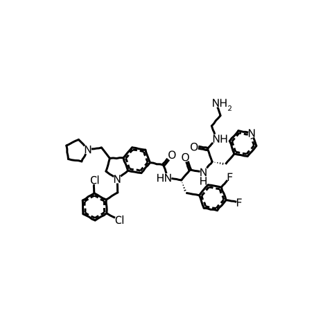 NCCNC(=O)[C@H](Cc1ccncc1)NC(=O)[C@H](Cc1ccc(F)c(F)c1)NC(=O)c1ccc2c(c1)N(Cc1c(Cl)cccc1Cl)CC2CN1CCCC1